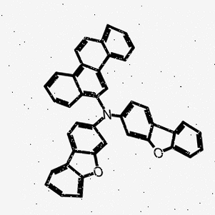 c1ccc2c(c1)ccc1c3ccccc3c(N(c3ccc4c(c3)oc3ccccc34)c3ccc4c(c3)oc3ccccc34)cc21